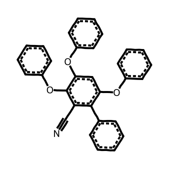 N#Cc1c(Oc2ccccc2)c(Oc2ccccc2)cc(Oc2ccccc2)c1-c1ccccc1